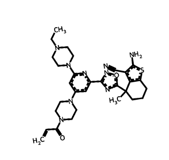 C=CC(=O)N1CCN(c2cc(-c3noc(C4(C)CCCc5sc(N)c(C#N)c54)n3)nc(N3CCN(CC)CC3)c2)CC1